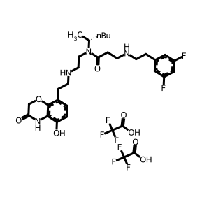 CCCC[C@@H](C)N(CCNCCc1ccc(O)c2c1OCC(=O)N2)C(=O)CCNCCc1cc(F)cc(F)c1.O=C(O)C(F)(F)F.O=C(O)C(F)(F)F